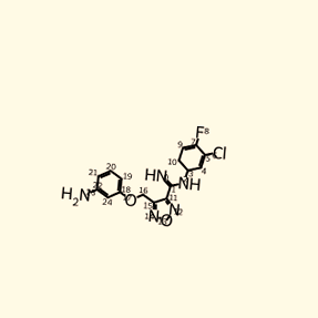 N=C(NC1C=C(Cl)C(F)=CC1)c1nonc1COc1cccc(N)c1